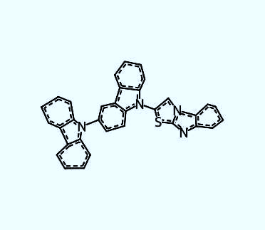 c1ccc2c(c1)nc1sc(-n3c4ccccc4c4cc(-n5c6ccccc6c6ccccc65)ccc43)cn12